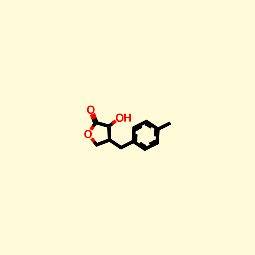 Cc1ccc(CC2COC(=O)C2O)cc1